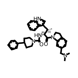 C[C@@H](c1c[nH]c2ccccc12)[C@@H](NC(=O)N1CCC(c2ccccc2)CC1)C(=O)N1CCc2ccc(CN(C)C)cc21